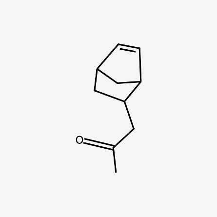 CC(=O)CC1CC2C=CC1C2